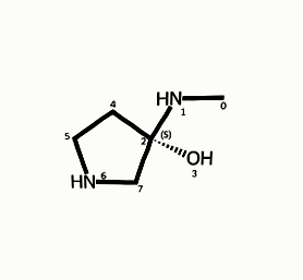 CN[C@]1(O)CCNC1